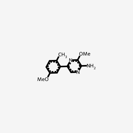 COc1ccc(C)c(-c2cnc(N)c(OC)n2)c1